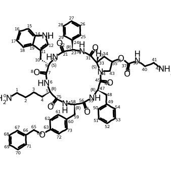 NCCCC[C@H]1NC(=O)[C@H](Cc2c[nH]c3ccccc23)NC(=O)[C@@H](c2ccccc2)NC(=O)[C@@H]2CC(OC(=O)NCCN)CN2C(=O)[C@@H](Cc2ccccc2)NC(=O)[C@@H](Cc2ccc(OCc3ccccc3)cc2)NC1=O